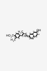 CC(=Cc1ccc(C(=O)O)c(C)c1)CNc1cnc2ccc(O)cc2c1